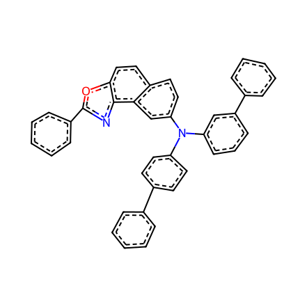 c1ccc(-c2ccc(N(c3cccc(-c4ccccc4)c3)c3ccc4ccc5oc(-c6ccccc6)nc5c4c3)cc2)cc1